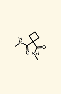 CNC(=O)C1(C(=O)NC)CCC1